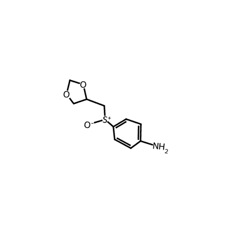 Nc1ccc([S+]([O-])CC2COCO2)cc1